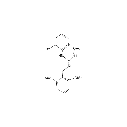 COc1cccc(OC)c1CN=C(NOC(C)=O)Nc1ncccc1Br